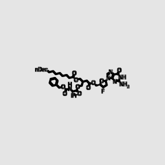 CCCCCCCCCCCCCCCCCC(=O)OCC(COC(=O)[C@@H](NC(=O)OCc1ccccc1)C(C)C)CC(=O)OC[C@H]1O[C@@H](n2cnc3c(=O)[nH]c(N)nc32)C[C@@H]1F